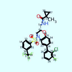 CC1(C(=O)NC[C@H]2CN(S(=O)(=O)c3cccc(C(F)(F)F)c3)c3cc(-c4cccc(F)c4Cl)ccc3O2)CC1